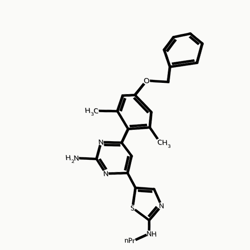 CCCNc1ncc(-c2cc(-c3c(C)cc(OCc4ccccc4)cc3C)nc(N)n2)s1